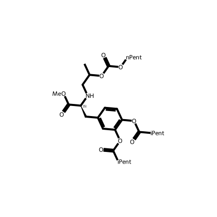 CCCCCOC(=O)OC(C)CN[C@@H](Cc1ccc(OC(=O)C(C)CCC)c(OC(=O)C(C)CCC)c1)C(=O)OC